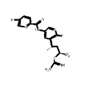 C[C@@H](C[C@H](OC(=N)N)C(F)(F)F)c1cc(NC(=O)c2ccc(Br)cn2)cnc1F